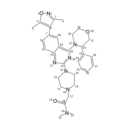 Cc1noc(C)c1-c1ccc2nc(N3CCN(CC(=O)N(C)C)CC3)nc(N3CCOCC3c3ccccc3)c2c1